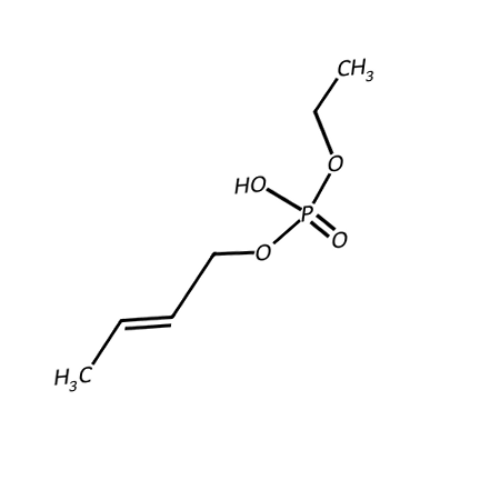 CC=CCOP(=O)(O)OCC